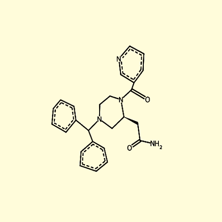 NC(=O)C[C@H]1CN(C(c2ccccc2)c2ccccc2)CCN1C(=O)c1cccnc1